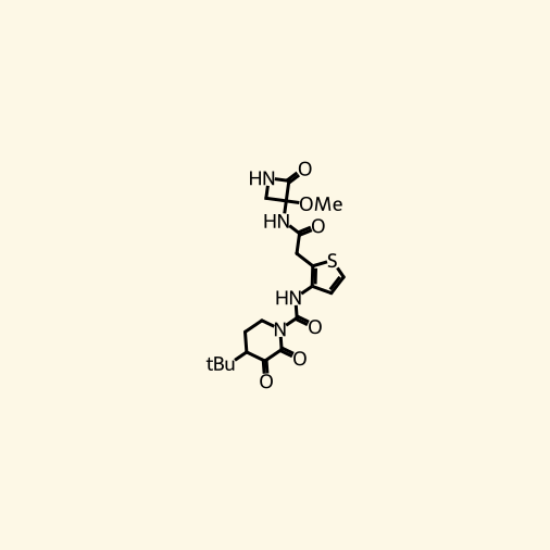 COC1(NC(=O)Cc2sccc2NC(=O)N2CCC(C(C)(C)C)C(=O)C2=O)CNC1=O